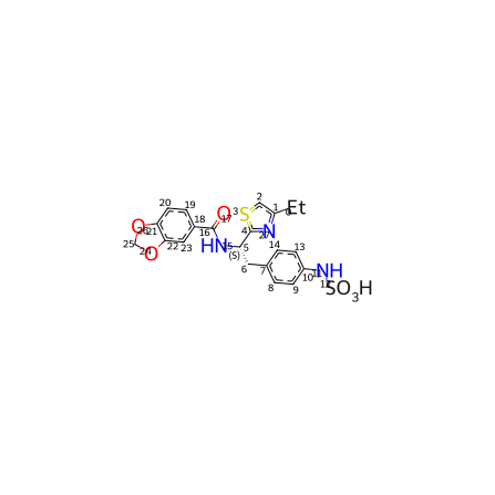 CCc1csc([C@H](Cc2ccc(NS(=O)(=O)O)cc2)NC(=O)c2ccc3c(c2)OCO3)n1